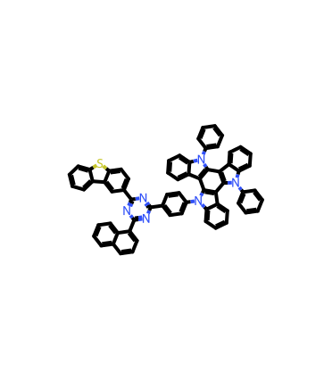 c1ccc(-n2c3ccccc3c3c2c2c4ccccc4n(-c4ccc(-c5nc(-c6ccc7sc8ccccc8c7c6)nc(-c6cccc7ccccc67)n5)cc4)c2c2c4ccccc4n(-c4ccccc4)c32)cc1